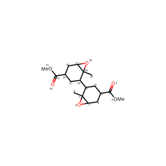 COC(=O)C1CC2OC2(C)C(C2CC(C(=O)OC)CC3OC32C)C1